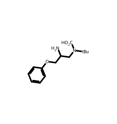 CC(C)(C)N(CC(N)COc1ccccc1)C(=O)O